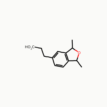 CC1OC(C)c2cc(CCC(=O)O)ccc21